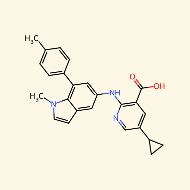 Cc1ccc(-c2cc(Nc3ncc(C4CC4)cc3C(=O)O)cc3ccn(C)c23)cc1